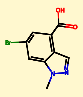 Cn1ncc2c(C(=O)O)cc(Br)cc21